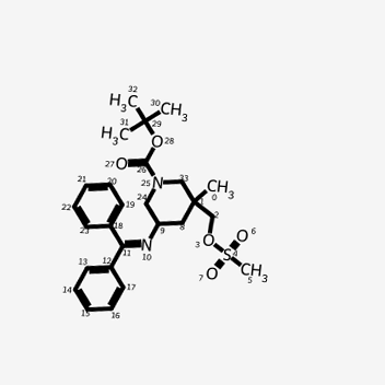 CC1(COS(C)(=O)=O)CC(N=C(c2ccccc2)c2ccccc2)CN(C(=O)OC(C)(C)C)C1